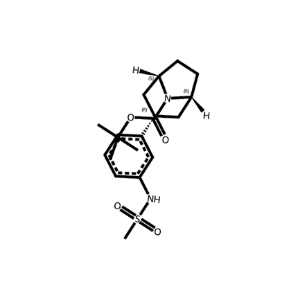 CC(C)(C)OC(=O)N1[C@@H]2CC[C@H]1C[C@@H](c1cccc(NS(C)(=O)=O)c1)C2